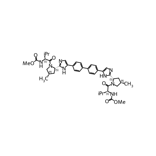 COC(=O)N[C@H](C(=O)N1C[C@H](C)C[C@H]1c1ncc(-c2ccc(-c3ccc(-c4cnc([C@@H]5C[C@@H](C)CN5C(=O)[C@@H](NC(=O)OC)C(C)C)[nH]4)cc3)cc2)[nH]1)C(C)C